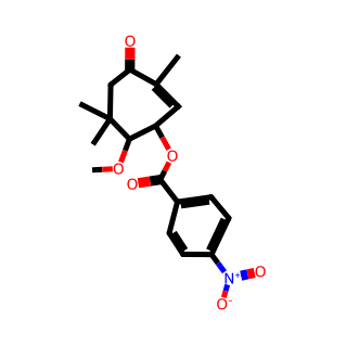 COC1C(OC(=O)c2ccc([N+](=O)[O-])cc2)C=C(C)C(=O)CC1(C)C